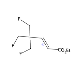 CCOC(=O)/C=C/C(CF)(CF)CF